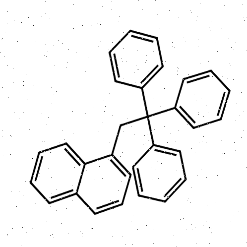 c1ccc(C(Cc2cccc3ccccc23)(c2ccccc2)c2ccccc2)cc1